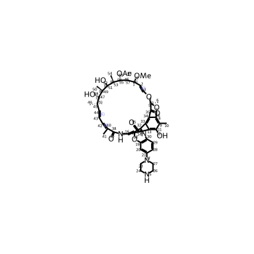 CO[C@H]1/C=C/O[C@@]2(C)Oc3c(C)c(O)c4c(=O)c(c5oc6cc(N7CCNCC7)ccc6nc-5c4c3C2=O)NC(=O)/C(C)=C\C=C\[C@H](C)[C@H](O)[C@@H](C)[C@@H](O)[C@@H](C)[C@H](OC(C)=O)[C@@H]1C